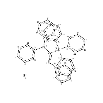 [Br-].c1ccc(N=C(N(c2ccccc2)c2ccccc2)[N+](c2ccccc2)(c2ccccc2)c2ccccc2)cc1